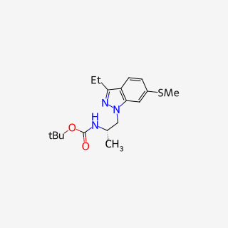 CCc1nn(C[C@H](C)NC(=O)OC(C)(C)C)c2cc(SC)ccc12